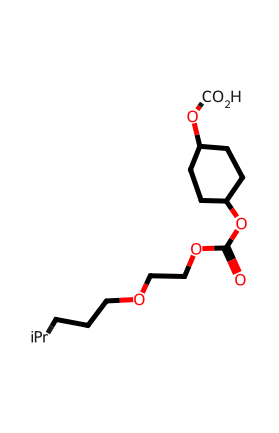 CC(C)CCCOCCOC(=O)OC1CCC(OC(=O)O)CC1